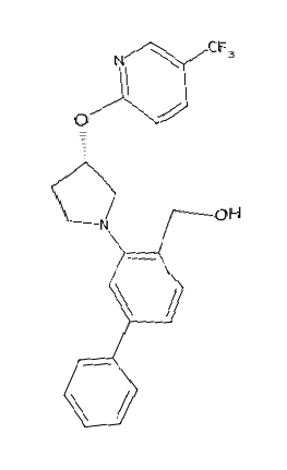 OCc1ccc(-c2ccccc2)cc1N1CC[C@H](Oc2ccc(C(F)(F)F)cn2)C1